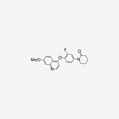 COc1ccc2c(Oc3ccc(N4CCCCC4=O)cc3F)ccnc2c1